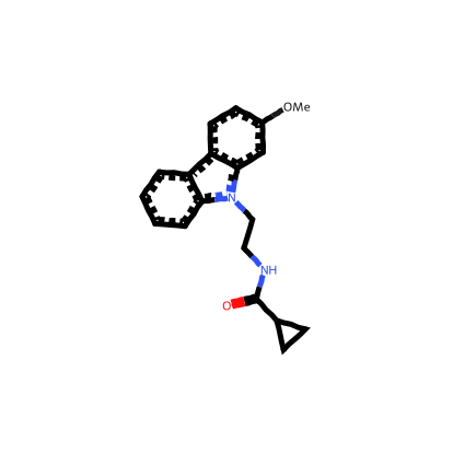 COc1ccc2c3ccccc3n(CCNC(=O)C3CC3)c2c1